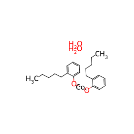 CCCCCc1ccccc1[O][Co][O]c1ccccc1CCCCC.O.O